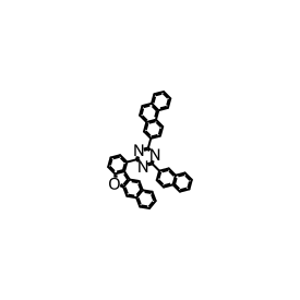 c1ccc2cc(-c3nc(-c4ccc5c(ccc6ccccc65)c4)nc(-c4cccc5oc6cc7ccccc7cc6c45)n3)ccc2c1